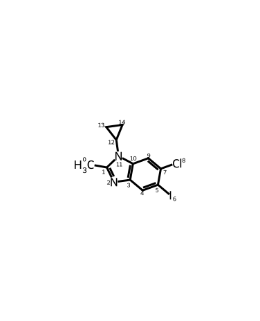 Cc1nc2cc(I)c(Cl)cc2n1C1CC1